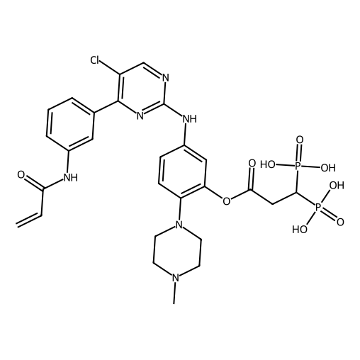 C=CC(=O)Nc1cccc(-c2nc(Nc3ccc(N4CCN(C)CC4)c(OC(=O)CC(P(=O)(O)O)P(=O)(O)O)c3)ncc2Cl)c1